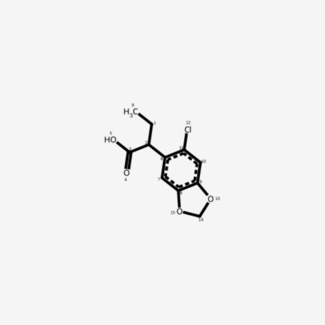 CCC(C(=O)O)c1cc2c(cc1Cl)OCO2